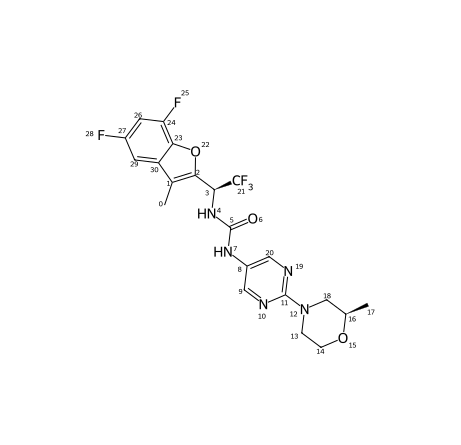 Cc1c([C@H](NC(=O)Nc2cnc(N3CCO[C@H](C)C3)nc2)C(F)(F)F)oc2c(F)cc(F)cc12